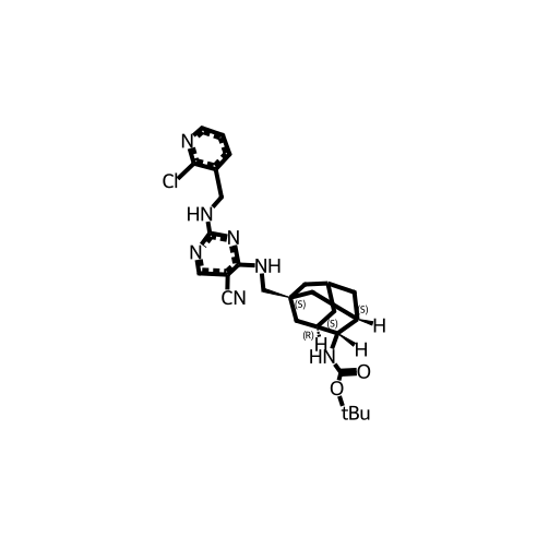 CC(C)(C)OC(=O)N[C@@H]1[C@@H]2CC3C[C@H]1C[C@@](CNc1nc(NCc4cccnc4Cl)ncc1C#N)(C3)C2